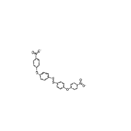 O=[N+]([O-])c1ccc(Oc2ccc(SSc3ccc(Oc4ccc([N+](=O)[O-])cc4)cc3)cc2)cc1